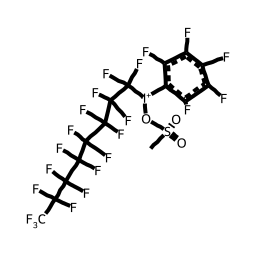 CS(=O)(=O)O[I+](c1c(F)c(F)c(F)c(F)c1F)C(F)(F)C(F)(F)C(F)(F)C(F)(F)C(F)(F)C(F)(F)C(F)(F)C(F)(F)F